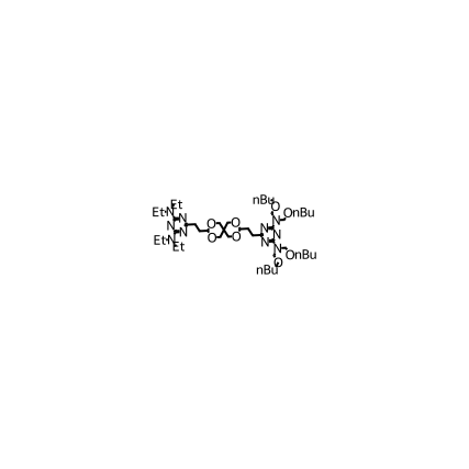 CCCCOCN(COCCCC)c1nc(CCC2OCC3(COC(CCc4nc(N(CC)CC)nc(N(CC)CC)n4)OC3)CO2)nc(N(COCCCC)COCCCC)n1